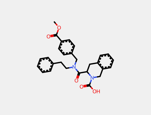 COC(=O)c1ccc(CN(CCc2ccccc2)C(=O)C2Cc3ccccc3CN2C(=O)O)cc1